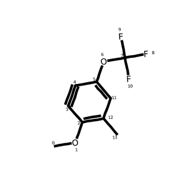 COc1c#cc(OC(F)(F)F)cc1C